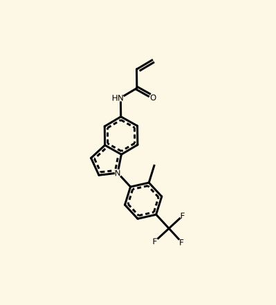 C=CC(=O)Nc1ccc2c(ccn2-c2ccc(C(F)(F)F)cc2C)c1